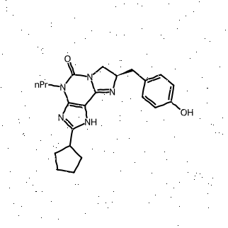 CCCN1C(=O)N2C[C@@H](Cc3ccc(O)cc3)N=C2c2[nH]c(C3CCCC3)nc21